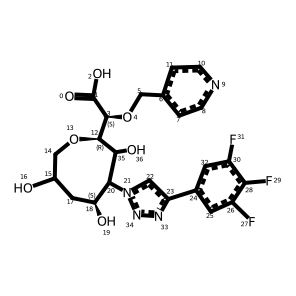 O=C(O)[C@@H](OCc1ccncc1)[C@@H]1OCC(O)C[C@H](O)C(n2cc(-c3cc(F)c(F)c(F)c3)nn2)C1O